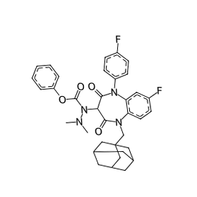 CN(C)N(C(=O)Oc1ccccc1)C1C(=O)N(CC23CC4CC(CC(C4)C2)C3)c2ccc(F)cc2N(c2ccc(F)cc2)C1=O